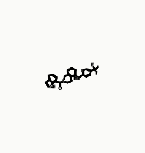 O=C(c1cccc2cc[nH]c12)N1CCc2c(cccc2Nc2ccc(C(F)(F)F)cn2)C1